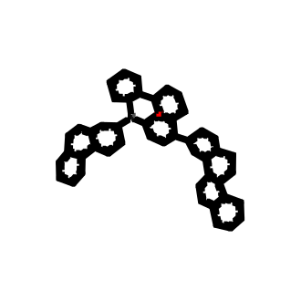 c1ccc(-c2ccccc2N(c2ccc(-c3ccc4ccc5c6ccccc6ccc5c4c3)cc2)c2ccc3c(ccc4ccccc43)c2)cc1